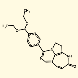 CCOC(OCC)c1ccc(C2=NC=C3C=CC(=O)NC4=C3N2CC4)cc1